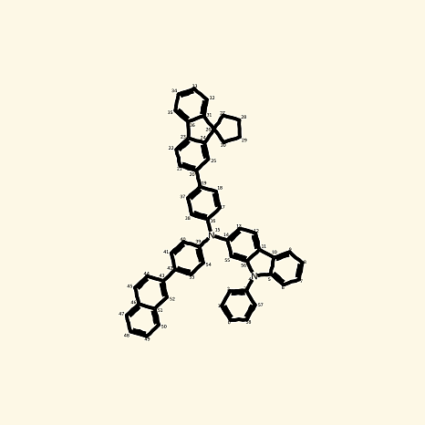 c1ccc(-n2c3ccccc3c3ccc(N(c4ccc(-c5ccc6c(c5)C5(CCCC5)c5ccccc5-6)cc4)c4ccc(-c5ccc6ccccc6c5)cc4)cc32)cc1